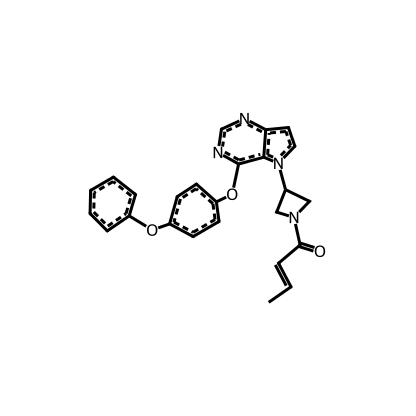 C/C=C/C(=O)N1CC(n2ccc3ncnc(Oc4ccc(Oc5ccccc5)cc4)c32)C1